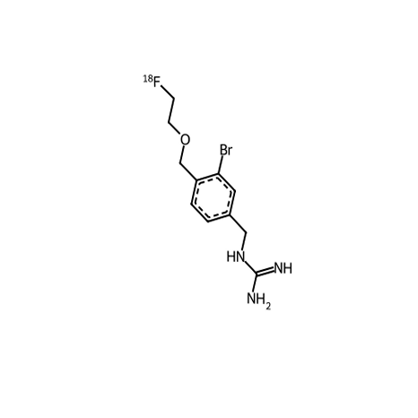 N=C(N)NCc1ccc(COCC[18F])c(Br)c1